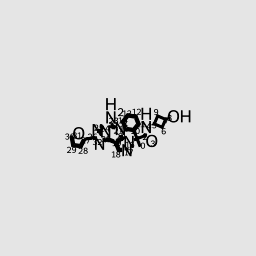 CC(C(=O)N[C@H]1C[C@H](O)C1)(c1ccccc1)n1ncc2c1nc(N)n1nc(-c3ccco3)nc21